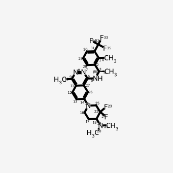 Cc1c([C@@H](C)Nc2nnc(C)c3ccc(N4CCC(N(C)C)C(F)(F)C4)cc23)cccc1C(F)(F)F